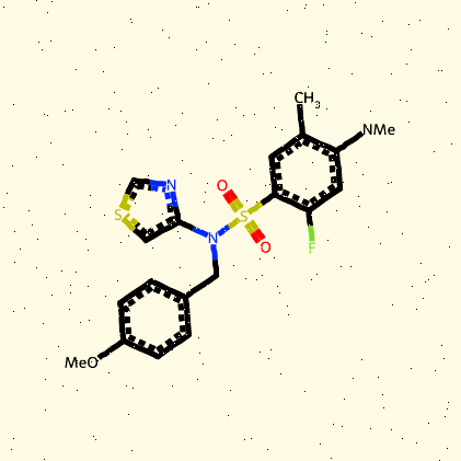 CNc1cc(F)c(S(=O)(=O)N(Cc2ccc(OC)cc2)c2cscn2)cc1C